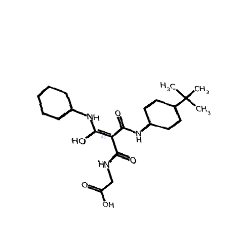 CC(C)(C)C1CCC(NC(=O)/C(C(=O)NCC(=O)O)=C(/O)NC2CCCCC2)CC1